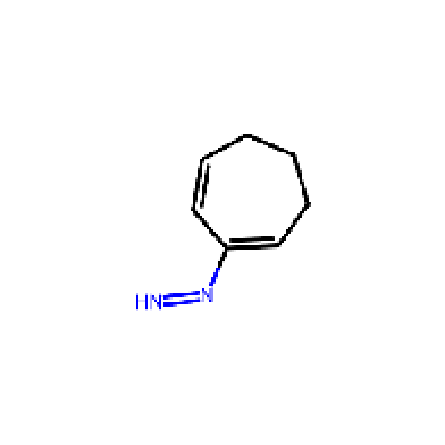 N=NC1=CCCCC=C1